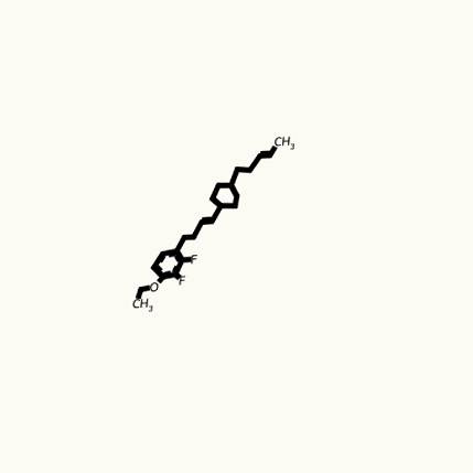 C/C=C/CCC1CCC(/C=C/CCc2ccc(OCC)c(F)c2F)CC1